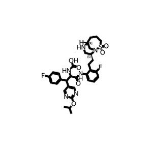 CC(C)Oc1ncc(C(c2ccc(F)cc2)C(NC(=O)O)C(=O)Nc2cccc(F)c2CC[C@H]2CN[C@@H]3CCCS(=O)(=O)N2C3)cn1